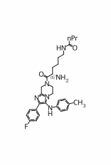 CCCC(=O)NCCCC[C@H](N)C(=O)N1CCn2c(nc(-c3ccc(F)cc3)c2Nc2ccc(C)cc2)C1